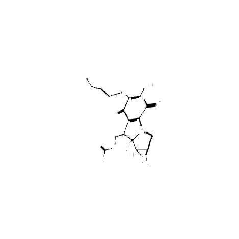 COC12C(COC(N)=O)C3=C(C(=O)C(C)=C(OCCCCl)C3=O)N1CC1NC12